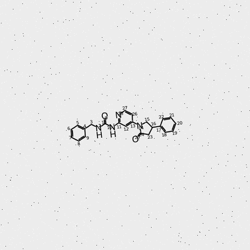 O=C(NCc1ccccc1)Nc1cc(N2CC(c3ccccc3)CC2=O)ccn1